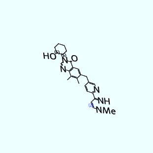 CN/C=C\C(=N)c1ccc(Cc2cc3c(=O)n([C@H]4CCCC[C@@H]4O)cnc3c(C)c2C)cn1